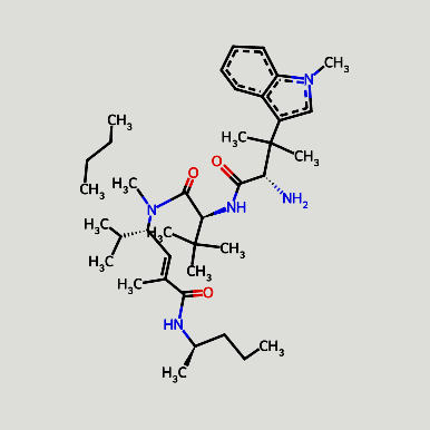 CCCC.CCC[C@@H](C)NC(=O)/C(C)=C/[C@H](C(C)C)N(C)C(=O)[C@@H](NC(=O)[C@@H](N)C(C)(C)c1cn(C)c2ccccc12)C(C)(C)C